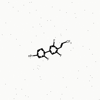 CCCc1ccc(-c2cc(F)c(/C=C/C(F)(F)F)c(F)c2)c(F)c1